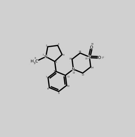 CN1CCCC1c1ccccc1N1CCS(=O)(=O)CC1